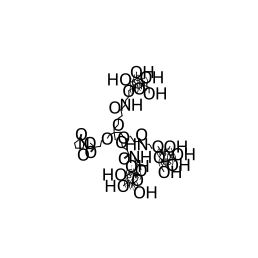 O=C(CCOCC(COCCC(=O)NCCO[C@@H]1O[C@H](CO)[C@@H](O)[C@H](O)[C@@H]1O)(COCCC(=O)NCCO[C@@H]1O[C@H](CO)[C@@H](O)[C@H](O)[C@@H]1O)COCCC(=O)ON1C(=O)CCC1=O)NCCO[C@@H]1O[C@H](CO)[C@@H](O)[C@H](O)[C@@H]1O